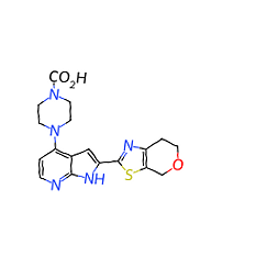 O=C(O)N1CCN(c2ccnc3[nH]c(-c4nc5c(s4)COCC5)cc23)CC1